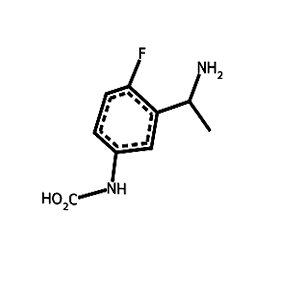 CC(N)c1cc(NC(=O)O)ccc1F